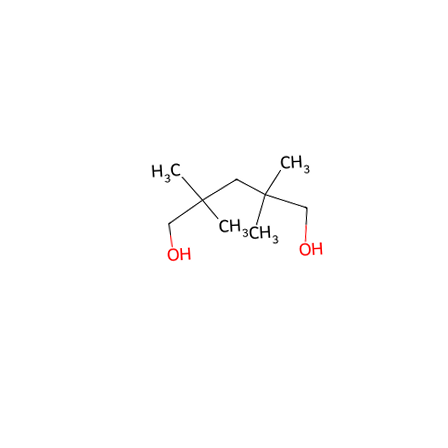 CC(C)(CO)CC(C)(C)CO